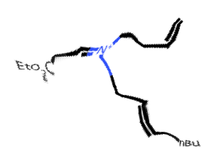 C=CC[N+](=CC(=O)OCC)CC=CCCCC